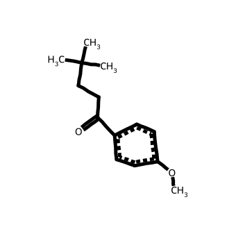 COc1ccc(C(=O)CCC(C)(C)C)cc1